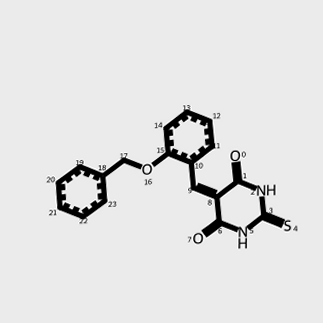 O=C1NC(=S)NC(=O)C1=Cc1ccccc1OCc1ccccc1